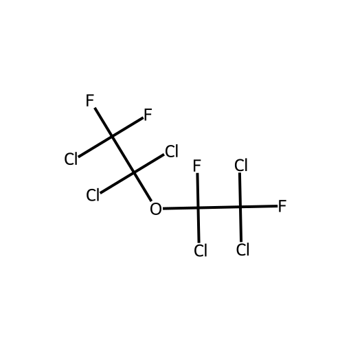 FC(F)(Cl)C(Cl)(Cl)OC(F)(Cl)C(F)(Cl)Cl